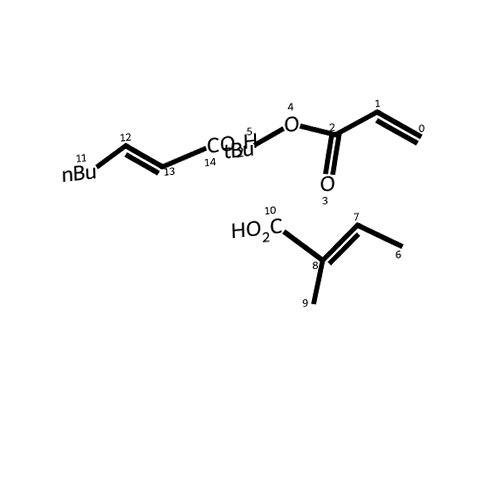 C=CC(=O)OC(C)(C)C.CC=C(C)C(=O)O.CCCCC=CC(=O)O